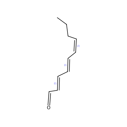 CCC\C=C/C=C/C=C/C=O